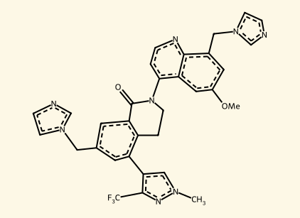 COc1cc(Cn2ccnc2)c2nccc(N3CCc4c(cc(Cn5ccnc5)cc4-c4cn(C)nc4C(F)(F)F)C3=O)c2c1